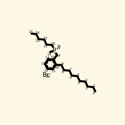 CCCCCCCCCCc1ccccc1C[P+](C)(C)CCCCCC.[Br-]